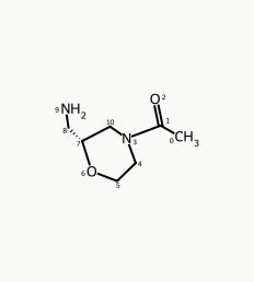 CC(=O)N1CCO[C@H](CN)C1